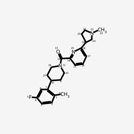 Cc1ccc(F)cc1C1CCN(C(=O)c2cccc(C3CCN(C)C3)n2)CC1